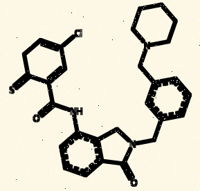 O=C(Nc1cccc2c1CN(Cc1cccc(CN3CCCCC3)c1)C2=O)C1=CC(Cl)=CCC1=S